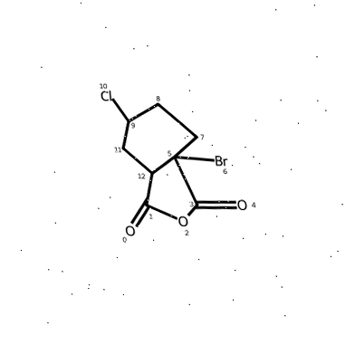 O=C1OC(=O)C2(Br)CCC(Cl)CC12